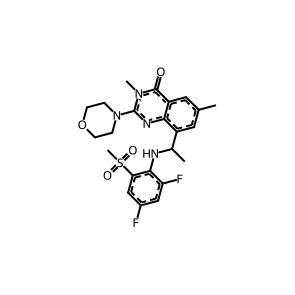 Cc1cc(C(C)Nc2c(F)cc(F)cc2S(C)(=O)=O)c2nc(N3CCOCC3)n(C)c(=O)c2c1